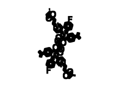 CC(C)c1ccc(C(OC(=O)C(=O)OC(C(=O)N(Cc2ccc(F)cc2)C2CCN(CCC3OC[C@H](C)O3)CC2)c2ccc(C(C)C)cc2)C(=O)N(Cc2ccc(F)cc2)C2CCN(CCC3OC[C@H](C)O3)CC2)cc1